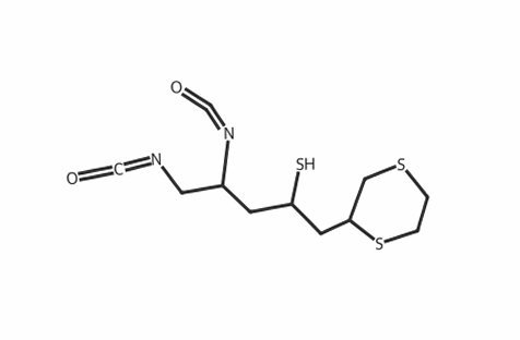 O=C=NCC(CC(S)CC1CSCCS1)N=C=O